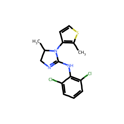 Cc1sccc1N1C(Nc2c(Cl)cccc2Cl)=NCC1C